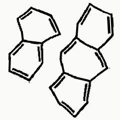 [c]1c2ccccc2cc2ccccc12.[c]1ccc2ccccc2c1